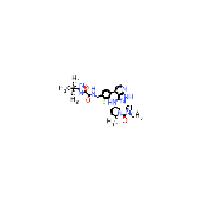 C[C@H]1CC[C@@H](Nc2n[nH]c3nccc(-c4ccc(CNC(=O)c5nc(C(C)(C)C)no5)c(F)c4)c23)CN1C(=O)N(C)C